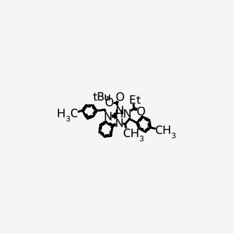 CCC(=O)NC(c1ccc(C)cc1)C(C)n1c(=NC(=O)OC(C)(C)C)n(Cc2ccc(C)cc2)c2ccccc21